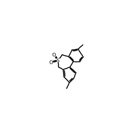 Cc1ccc2c(c1)CS(=O)(=O)Cc1cc(C)ccc1-2